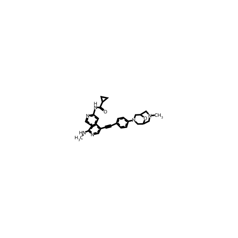 CNc1ncc(C#Cc2ccc(N3CC4CN(C)CC(C3)O4)cc2)c2cc(NC(=O)C3CC3)ncc12